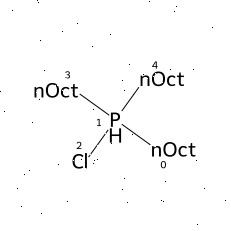 CCCCCCCC[PH](Cl)(CCCCCCCC)CCCCCCCC